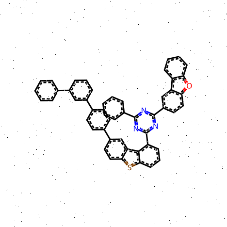 c1ccc(-c2cccc(-c3ccc(-c4ccc5sc6cccc(-c7nc(-c8ccccc8)nc(-c8ccc9oc%10ccccc%10c9c8)n7)c6c5c4)cc3)c2)cc1